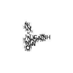 CN1CCN(CCCN2CCCn3c4ccccc4c4nc5cc(N6CCNCC6)ccc5c2c43)CC1